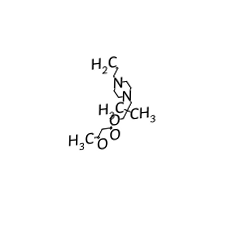 C=CCN1CCN(CC(C)(C)COC(=O)CC(C)=O)CC1